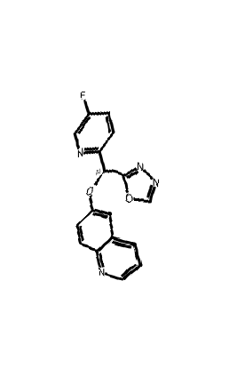 Fc1ccc([C@H](Oc2ccc3ncccc3c2)c2nnco2)nc1